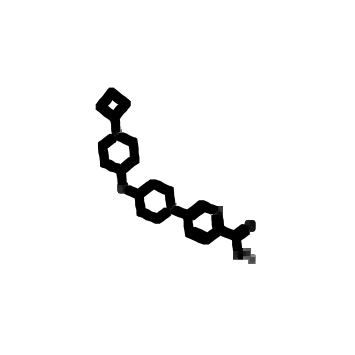 NC(=O)c1ccc(N2CCC(OC3CCN(C4CCC4)CC3)CC2)cn1